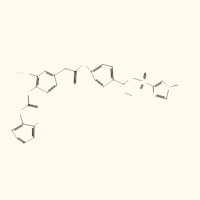 COc1cc(CC(=O)Nc2ccc([C@@H](CC(=O)O)NS(=O)(=O)c3cn(C)cn3)cc2)ccc1NC(=O)Nc1ccccc1C